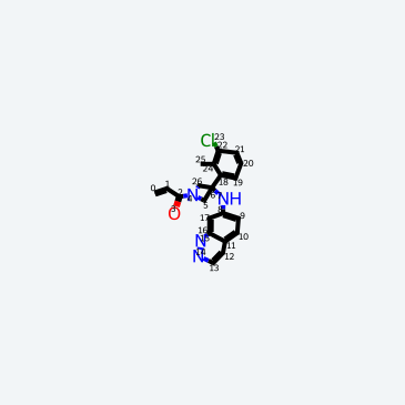 C=CC(=O)N1CC(Nc2ccc3ccnnc3c2)(c2cccc(Cl)c2C)C1